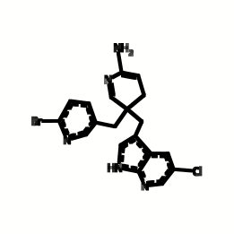 NC1=CCC(Cc2ccc(Br)nc2)(Cc2c[nH]c3ncc(Cl)cc23)C=N1